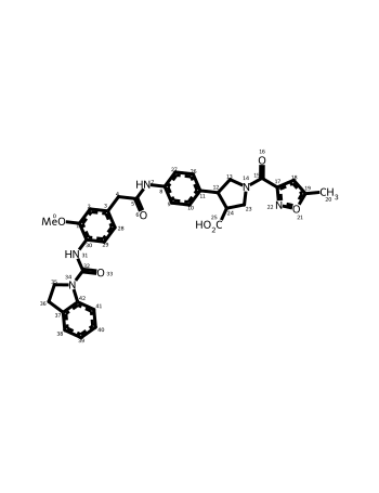 COc1cc(CC(=O)Nc2ccc(C3CN(C(=O)c4cc(C)on4)CC3C(=O)O)cc2)ccc1NC(=O)N1CCc2ccccc21